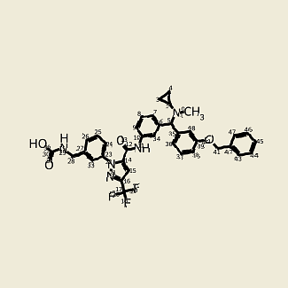 CN(C1CC1)C(c1cccc(NC(=O)c2cc(C(F)(F)F)nn2-c2cccc(CNC(=O)O)c2)c1)c1cccc(OCc2ccccc2)c1